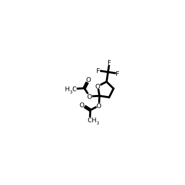 CC(=O)OC1(OC(C)=O)CCC(C(F)(F)F)O1